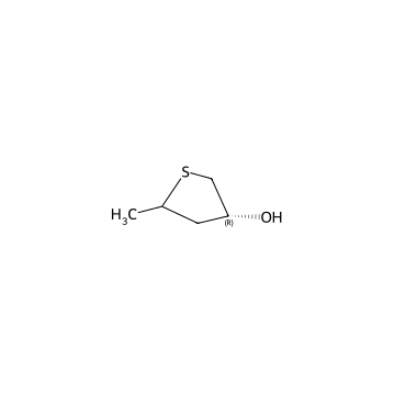 CC1C[C@@H](O)CS1